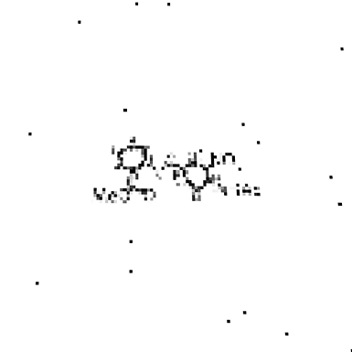 COC(=O)c1ccccc1COc1ccc(NC(C)=O)c([N+](=O)[O-])c1